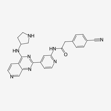 N#Cc1ccc(CC(=O)Nc2cc(-c3nc(NC4CCNC4)c4ccncc4n3)ccn2)cc1